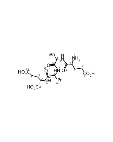 CC[C@H](C)[C@H](NC(=O)[C@@H](N)CCC(=O)O)C(=O)N[C@H](C(=O)N[C@@H](CCC(=O)O)C(=O)O)C(C)C